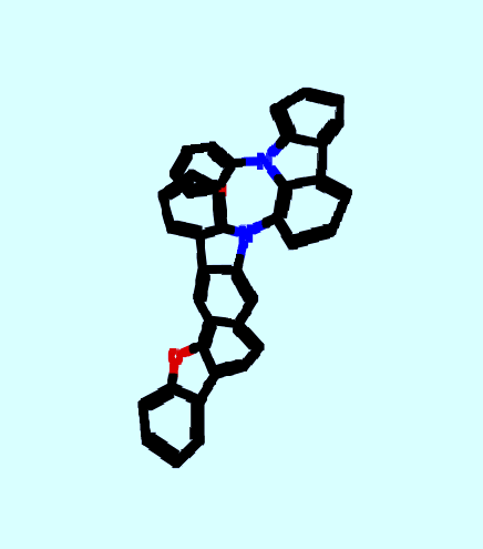 c1ccc(-n2c3ccccc3c3cccc(-n4c5ccccc5c5cc6c(ccc7c8ccccc8oc67)cc54)c32)cc1